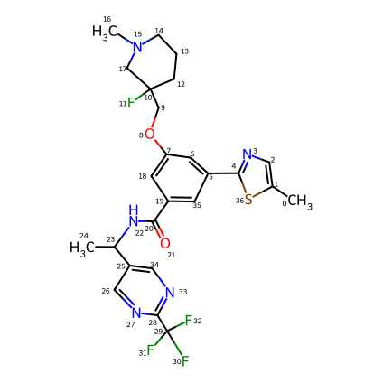 Cc1cnc(-c2cc(OCC3(F)CCCN(C)C3)cc(C(=O)NC(C)c3cnc(C(F)(F)F)nc3)c2)s1